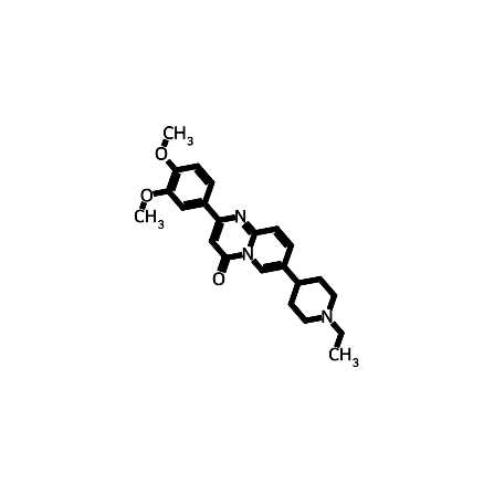 CCN1CCC(c2ccc3nc(-c4ccc(OC)c(OC)c4)cc(=O)n3c2)CC1